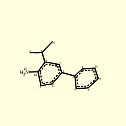 CC(C)c1cc(-c2ccccc2)ccc1N